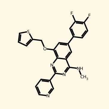 CNc1nc(-c2cccnc2)nc2c(OCc3cccs3)cc(-c3ccc(F)c(F)c3)cc12